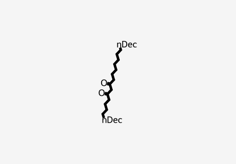 CCCCCCCCCCCCCCCCCC(=O)CC(=O)CCCCCCCCCCCCCC